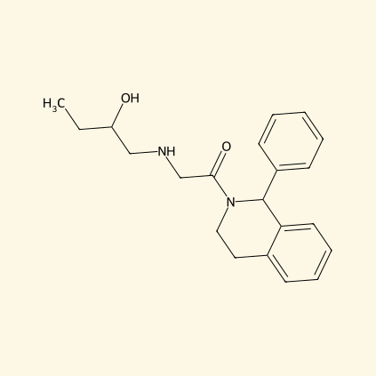 CCC(O)CNCC(=O)N1CCc2ccccc2C1c1ccccc1